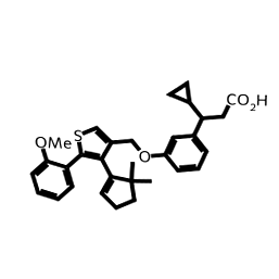 COc1ccccc1-c1scc(COc2cccc(C(CC(=O)O)C3CC3)c2)c1C1=CCCC1(C)C